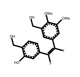 COc1cc(/C(F)=C(/F)c2ccc(CO)c(O)c2)cc(CO)c1OC